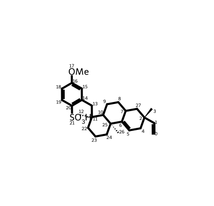 C=C[C@]1(C)CC=C2C(CCC3[C@](C)(Cc4cc(OC)ccc4S(=O)(=O)O)CCC[C@]23C)C1